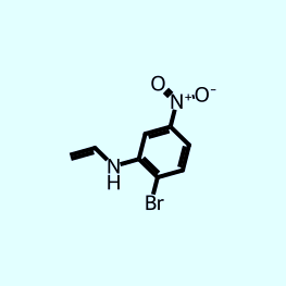 C=CNc1cc([N+](=O)[O-])ccc1Br